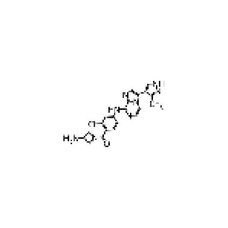 NC1CN(C(=O)c2ccc(Nc3nccn4c(-c5c[nH]nc5C(F)(F)F)cnc34)cc2Cl)C1